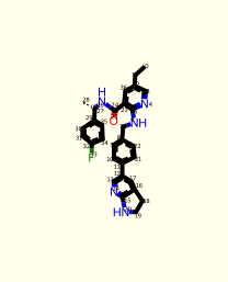 CCc1cnc(NCc2ccc(-c3cnc4c(c3)CCN4)cc2)c(C(=O)N[C@@H](C)c2ccc(F)cc2)c1